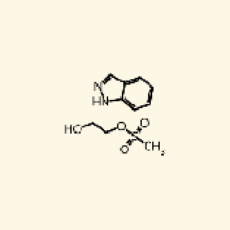 CS(=O)(=O)OCCO.c1ccc2[nH]ncc2c1